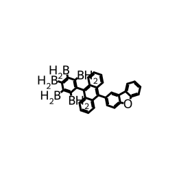 Bc1c(B)c(B)c(-c2c3ccccc3c(-c3ccc4oc5ccccc5c4c3)c3ccccc23)c(B)c1B